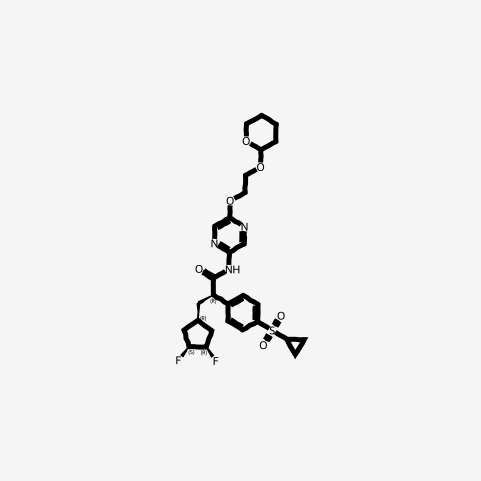 O=C(Nc1cnc(OCCOC2CCCCO2)cn1)[C@H](C[C@H]1C[C@@H](F)[C@@H](F)C1)c1ccc(S(=O)(=O)C2CC2)cc1